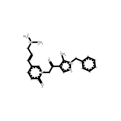 Cc1c(C(=O)Cn2cc(C=CCN(C)C)ccc2=O)cnn1Cc1ccccc1